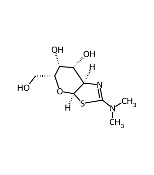 CN(C)C1=N[C@@H]2[C@@H](O)[C@@H](O)[C@@H](CO)O[C@@H]2S1